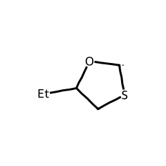 CCC1CS[CH]O1